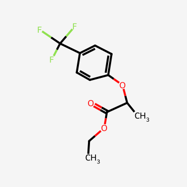 CCOC(=O)C(C)Oc1ccc(C(F)(F)F)cc1